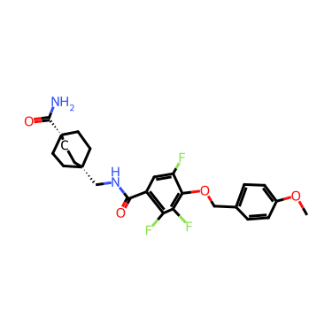 COc1ccc(COc2c(F)cc(C(=O)NC[C@]34CC[C@](C(N)=O)(CC3)CC4)c(F)c2F)cc1